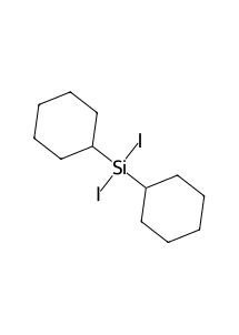 I[Si](I)(C1CCCCC1)C1CCCCC1